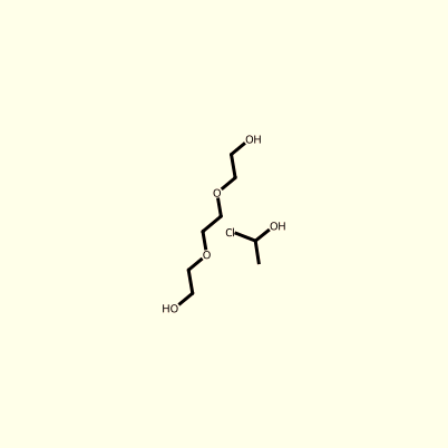 CC(O)Cl.OCCOCCOCCO